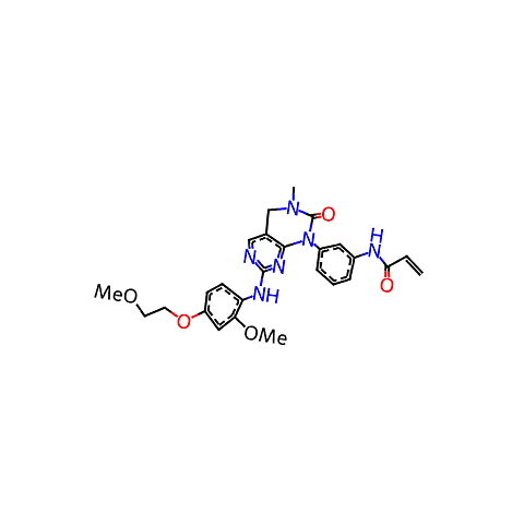 C=CC(=O)Nc1cccc(N2C(=O)N(C)Cc3cnc(Nc4ccc(OCCOC)cc4OC)nc32)c1